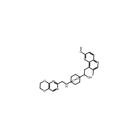 COc1ccc2ncc(F)c(CC(O)C34CCC(NCc5ncc6c(n5)OCCO6)(CC3)CO4)c2n1